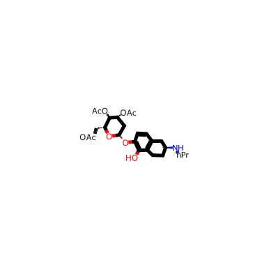 CCCN[C@H]1CCc2c(ccc(O[C@H]3C[C@@H](OC(C)=O)[C@H](OC(C)=O)[C@@H](COC(C)=O)O3)c2O)C1